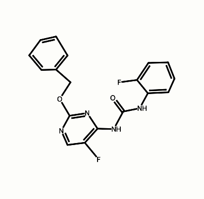 O=C(Nc1ccccc1F)Nc1nc(OCc2ccccc2)ncc1F